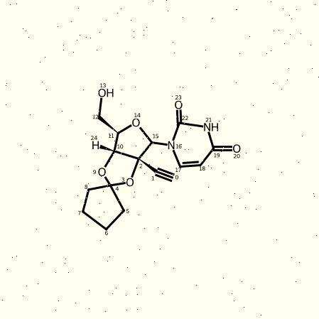 C#C[C@@]12OC3(CCCC3)O[C@@H]1[C@@H](CO)OC2n1ccc(=O)[nH]c1=O